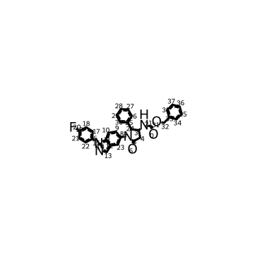 O=C(NC1CC(=O)N(c2ccc3c(cnn3-c3ccc(F)cc3)c2)C1c1ccccc1)OCc1ccccc1